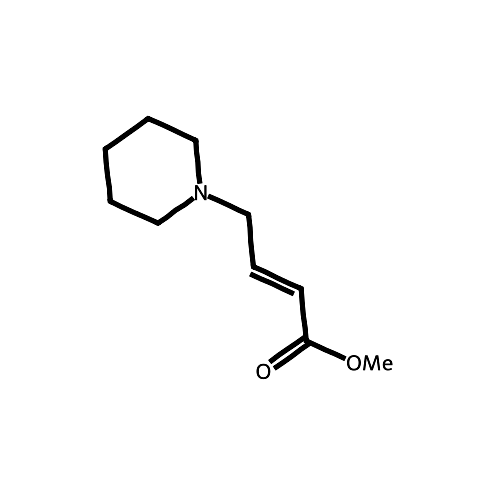 COC(=O)C=CCN1CCCCC1